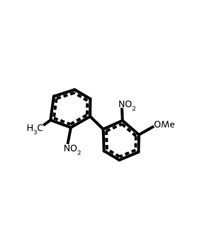 COc1cccc(-c2cccc(C)c2[N+](=O)[O-])c1[N+](=O)[O-]